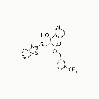 O=C(OCc1cccc(C(F)(F)F)c1)C(CSc1nc2ccccc2s1)C(O)c1cccnc1